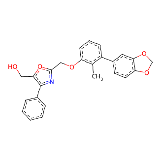 Cc1c(OCc2nc(-c3ccccc3)c(CO)o2)cccc1-c1ccc2c(c1)OCO2